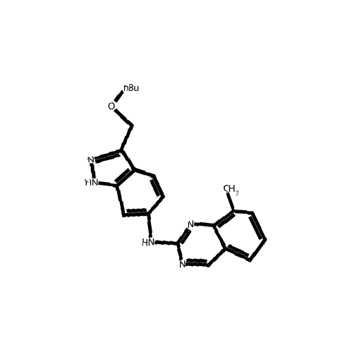 CCCCOCc1n[nH]c2cc(Nc3ncc4cccc(C)c4n3)ccc12